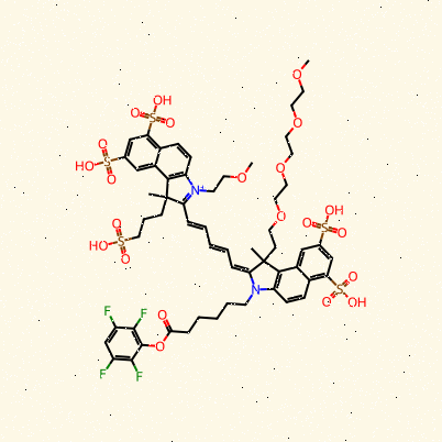 COCCOCCOCCOCCC1(C)\C(=C/C=C/C=C/C2=[N+](CCOC)c3ccc4c(S(=O)(=O)O)cc(S(=O)(=O)O)cc4c3C2(C)CCCS(=O)(=O)O)N(CCCCCC(=O)Oc2c(F)c(F)cc(F)c2F)c2ccc3c(S(=O)(=O)O)cc(S(=O)(=O)O)cc3c21